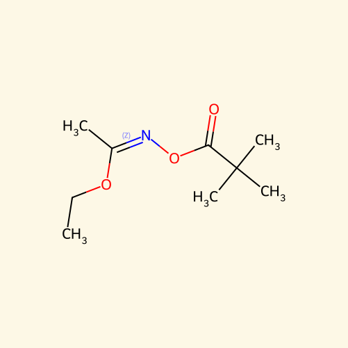 CCO/C(C)=N\OC(=O)C(C)(C)C